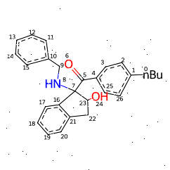 CCCCc1ccc(C(=O)C2(NCc3ccccc3)c3ccccc3CC2O)cc1